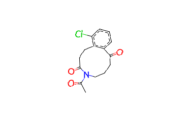 CC(=O)N1CCCC(=O)c2cccc(Cl)c2CCC1=O